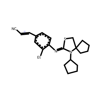 CCc1cc(/C=C/C#N)ccc1N=C1SCC2(CCCC2)N1C1CCCC1